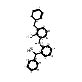 Oc1c(CC2C=CC=CC2)cccc1Pc1ccccc1C(O)c1ccccc1